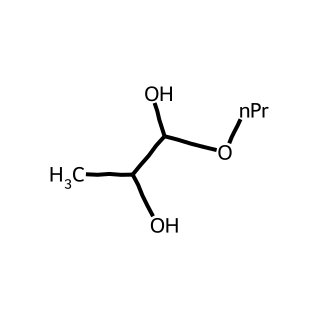 CCCOC(O)C(C)O